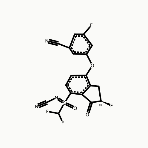 N#CN=S(=O)(c1ccc(Oc2cc(F)cc(C#N)c2)c2c1C(=O)[C@H](F)C2)C(F)F